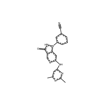 Cc1cc(Nc2cc3c(cn2)c(=O)[nH]n3-c2cccc(C#N)c2)nc(C)n1